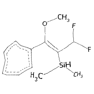 COC(=C(C(F)F)[SiH](C)C)c1ccccc1